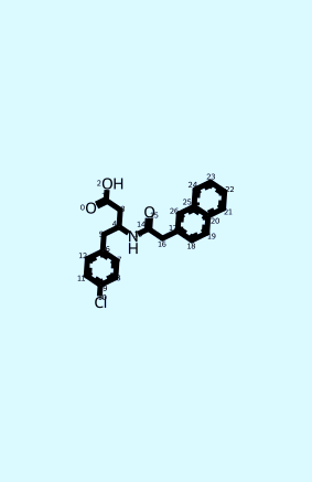 O=C(O)CC(Cc1ccc(Cl)cc1)NC(=O)Cc1ccc2ccccc2c1